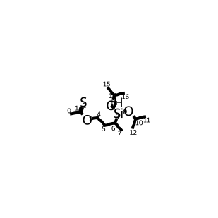 CC(=S)OCCC(C)[SiH](OC(C)C)OC(C)C